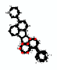 c1cncc(-c2ccc3c4c(cccc24)C24c5cccc6c(-c7cccnc7)ccc(c56)C32c2ccc(-c3cccnc3)c3cccc4c23)c1